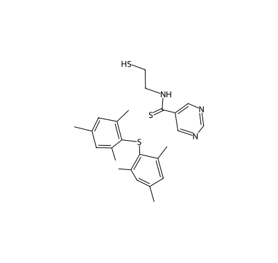 Cc1cc(C)c(Sc2c(C)cc(C)cc2C)c(C)c1.S=C(NCCS)c1cncnc1